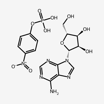 Nc1ncnc2c1ncn2[C@@H]1O[C@H](CO)[C@@H](O)[C@H]1O.O=[N+]([O-])c1ccc(OP(=O)(O)O)cc1